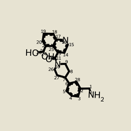 NCc1cccc(C2CCN(C(=O)c3ccnc4cccc(C(O)O)c34)CC2)c1